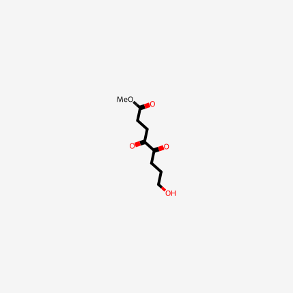 COC(=O)CCC(=O)C(=O)CCCO